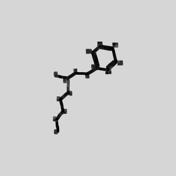 CCCCCC(C)CCc1ccccc1